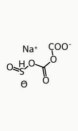 O=C([O-])OC(=O)O[SH](=O)=O.[Na+]